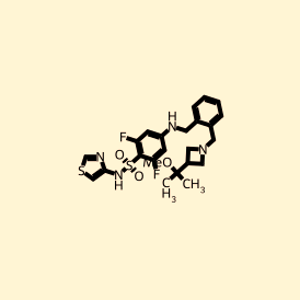 COC(C)(C)C1CN(Cc2ccccc2CNc2cc(F)c(S(=O)(=O)Nc3cscn3)c(F)c2)C1